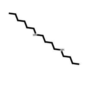 [CH2]CCCNCCCCNCCCCCC